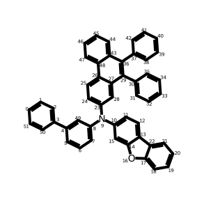 c1ccc(-c2cccc(N(c3ccc4c(c3)oc3ccccc34)c3ccc4c(c3)c(-c3ccccc3)c(-c3ccccc3)c3ccccc34)c2)cc1